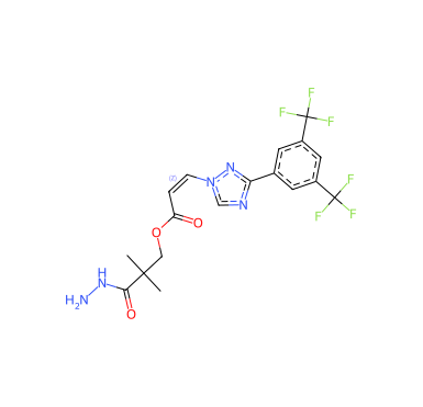 CC(C)(COC(=O)/C=C\n1cnc(-c2cc(C(F)(F)F)cc(C(F)(F)F)c2)n1)C(=O)NN